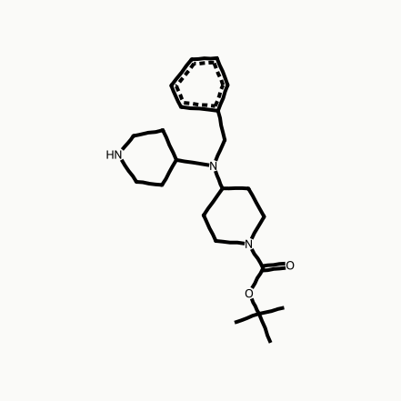 CC(C)(C)OC(=O)N1CCC(N(Cc2ccccc2)C2CCNCC2)CC1